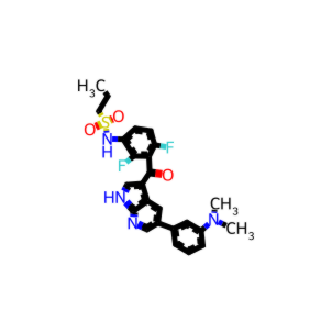 CCCS(=O)(=O)Nc1ccc(F)c(C(=O)c2c[nH]c3ncc(-c4cccc(N(C)C)c4)cc23)c1F